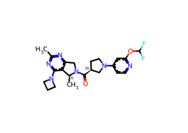 Cc1nc2c(c(N3CCC3)n1)[C@H](C)N(C(=O)[C@H]1CCN(c3ccnc(OC(F)F)c3)C1)C2